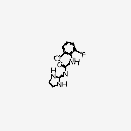 O=C(N=C1NCCN1)Nc1c(F)cccc1Cl